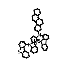 CC12c3ccccc3-c3cccc(c31)N(c1ccc3c(ccc4c5ccccc5ccc34)c1)c1ccc3c(c12)c1ccccc1n3-c1cccc2sc3ccccc3c12